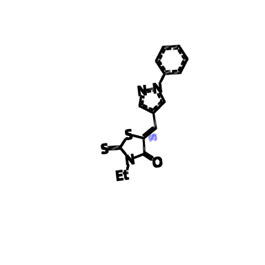 CCN1C(=O)/C(=C/c2cnn(-c3ccccc3)c2)SC1=S